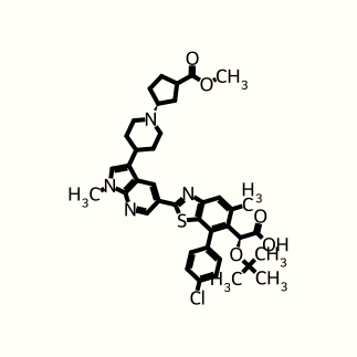 COC(=O)C1CC[C@@H](N2CCC(c3cn(C)c4ncc(-c5nc6cc(C)c([C@H](OC(C)(C)C)C(=O)O)c(-c7ccc(Cl)cc7)c6s5)cc34)CC2)C1